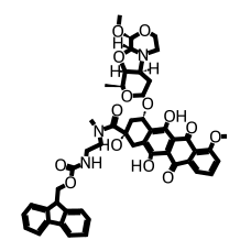 COc1cccc2c1C(=O)c1c(O)c3c(c(O)c1C2=O)C[C@@](O)(C(=O)N(C)CCNC(=O)OCC1c2ccccc2-c2ccccc21)C[C@@H]3O[C@H]1C[C@H]2[C@H](O[C@@H]3[C@@H](OC)OCCN32)[C@H](C)O1